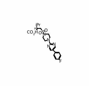 CC(C)[C@@H](CS(=O)(=O)N1CCN(c2ncc(-c3ccc(F)cc3)cn2)CC1)C(=O)O